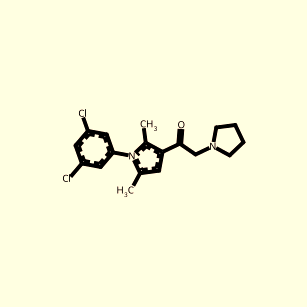 Cc1cc(C(=O)CN2CCCC2)c(C)n1-c1cc(Cl)cc(Cl)c1